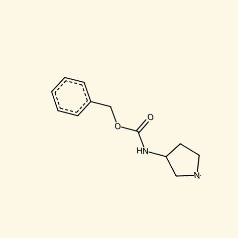 O=C(NC1CC[N]C1)OCc1ccccc1